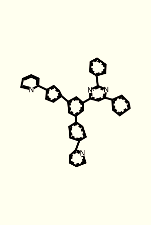 C1=C=C(c2ccc(-c3cc(-c4ccc(-c5ccccn5)cc4)cc(-c4cc(-c5ccccc5)nc(-c5ccccc5)n4)c3)cc2)N=CC=1